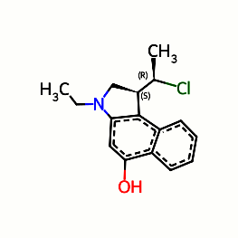 CCN1C[C@@H]([C@@H](C)Cl)c2c1cc(O)c1ccccc21